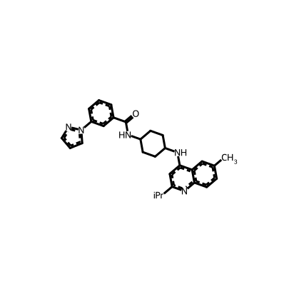 Cc1ccc2nc(C(C)C)cc(NC3CCC(NC(=O)c4cccc(-n5cccn5)c4)CC3)c2c1